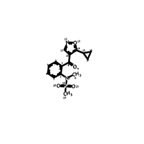 CN(c1ccccc1C(=O)c1cnoc1C1CC1)S(C)(=O)=O